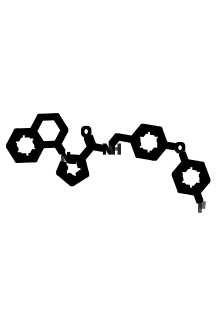 O=C(NCc1ccc(Oc2ccc(F)cc2)cc1)c1cccn1C1CCCc2ccccc21